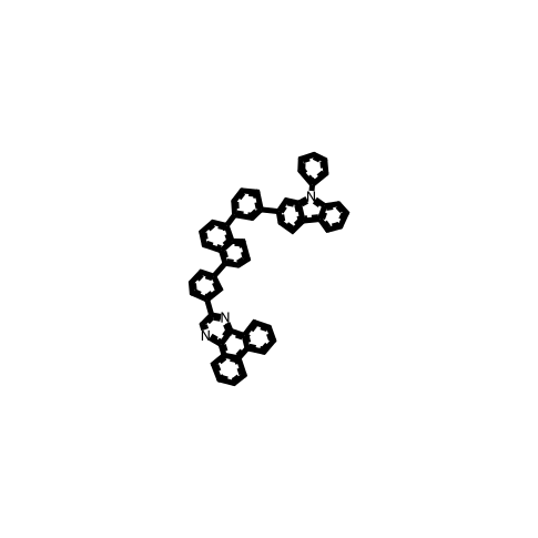 c1ccc(-n2c3ccccc3c3ccc(-c4cccc(-c5cccc6c(-c7cccc(-c8cnc9c%10ccccc%10c%10ccccc%10c9n8)c7)cccc56)c4)cc32)cc1